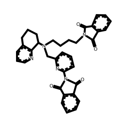 O=C1c2ccccc2C(=O)N1CCCCN(Cc1cccc(N2C(=O)c3ccccc3C2=O)n1)C1CCCc2cccnc21